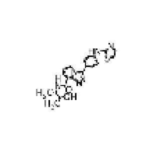 C=C(O)[C@@H](C)NC(=O)c1cccn2c(-c3ccc(Nc4nccs4)cc3)nnc12